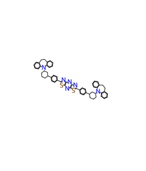 c1ccc2c(c1)CCc1ccccc1N2C1CCCC(c2ccc(-c3nc4nc5nc(-c6ccc(C7CCCC(N8c9ccccc9CCc9ccccc98)C7)cc6)sc5nc4s3)cc2)C1